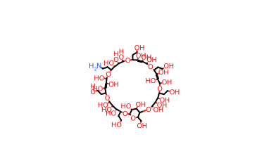 NCCC1OC(O)/C(O)=C(\O)C(CCO)OC(O)C(O)C(O)C(CCO)OC2OC(CO)C(OC(O)C(O)C(O)C(CCO)OC(O)/C(O)=C(\O)C(CCO)OC(O)/C(O)=C(/O)C(CCO)OC(O)C(O)C1O)C(O)C2O